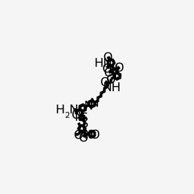 COc1cc(C)c(Sc2cnc(-c3cc(N4CCN(CCCCCCNC(=O)COc5cccc6c5C(=O)N(C5CCC(=O)NC5=O)C6=O)CC4)ccc3C(N)=O)s2)cc1C(=O)N1CCOCC1